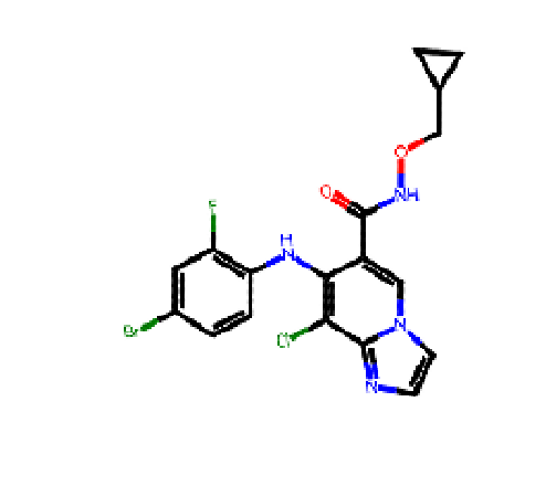 O=C(NOCC1CC1)c1cn2ccnc2c(Cl)c1Nc1ccc(Br)cc1F